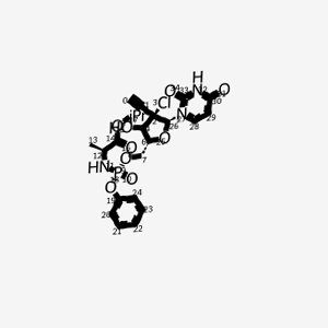 C#C[C@@]1(Cl)C(O)[C@@H](COP(=O)(N[C@@H](C)C(=O)OC(C)C)Oc2ccccc2)O[C@H]1n1ccc(=O)[nH]c1=O